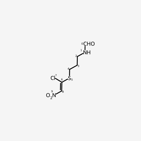 O=CNCCCSC(Cl)=C[N+](=O)[O-]